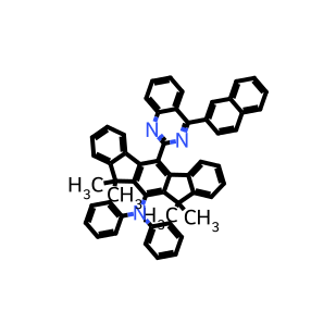 CC1(C)c2ccccc2-c2c(-c3nc(-c4ccc5ccccc5c4)c4ccccc4n3)c3c(c(N(c4ccccc4)c4ccccc4)c21)C(C)(C)c1ccccc1-3